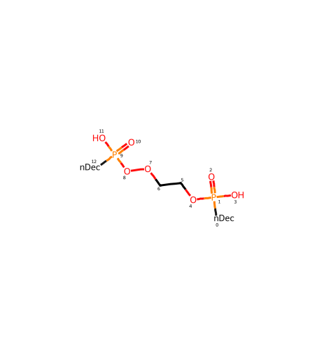 CCCCCCCCCCP(=O)(O)OCCOOP(=O)(O)CCCCCCCCCC